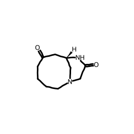 O=C1CCCCN2CC(=O)N[C@@H](C1)C2